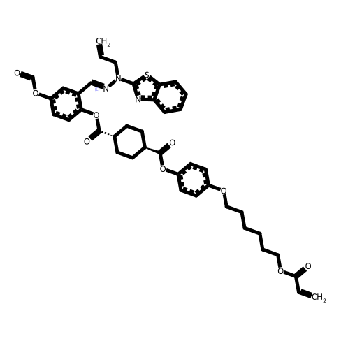 C=CCN(/N=C/c1cc(OC=O)ccc1OC(=O)[C@H]1CC[C@H](C(=O)Oc2ccc(OCCCCCCOC(=O)C=C)cc2)CC1)c1nc2ccccc2s1